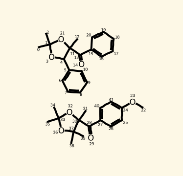 CC1(C)OC(c2ccccc2)C(C)(C(=O)c2ccccc2)O1.COc1ccc(C(=O)C2(C)OC(C)(C)OC2(C)C)cc1